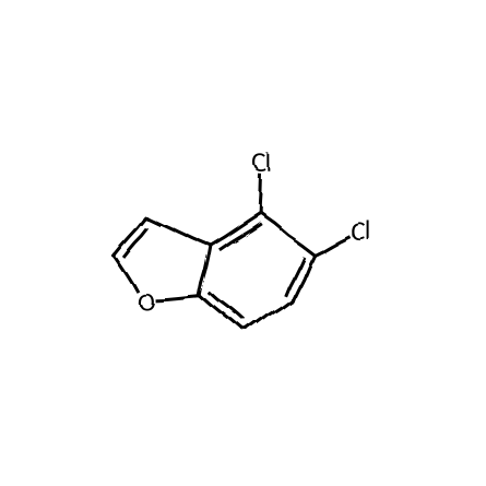 Clc1ccc2occc2c1Cl